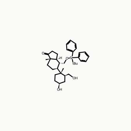 CC(C)(C)[Si](OC[C@@H]1[C@@H]([C@@]2(C)CC[C@H](O)C[C@@H]2CO)CC[C@]2(C)C(=O)CC[C@@H]12)(c1ccccc1)c1ccccc1